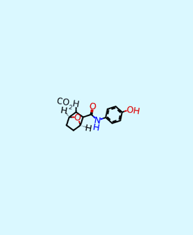 O=C(O)C1C(C(=O)Nc2ccc(O)cc2)[C@H]2CC[C@@H]1O2